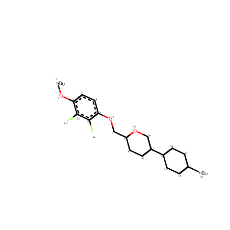 CCCCOc1ccc(OCC2CCC(C3CCC(CCCC)CC3)CO2)c(F)c1F